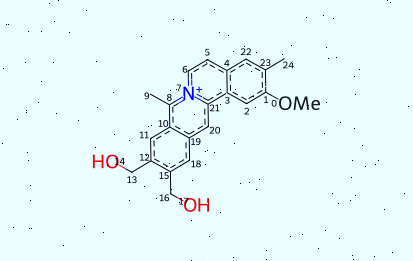 COc1cc2c(cc[n+]3c(C)c4cc(CO)c(CO)cc4cc23)cc1C